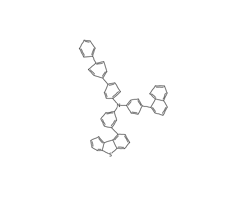 c1ccc(-c2ccc(-c3ccc(N(c4ccc(-c5cccc6ccccc56)cc4)c4cccc(-c5cccc6sc7ccccc7c56)c4)cc3)cc2)cc1